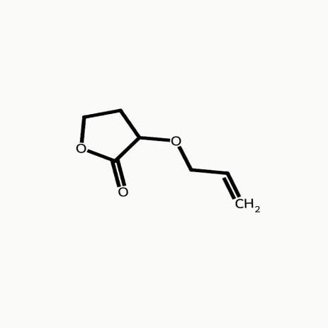 C=CCOC1CCOC1=O